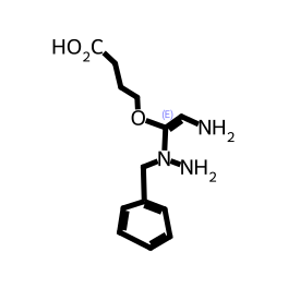 N/C=C(/OCCCC(=O)O)N(N)Cc1ccccc1